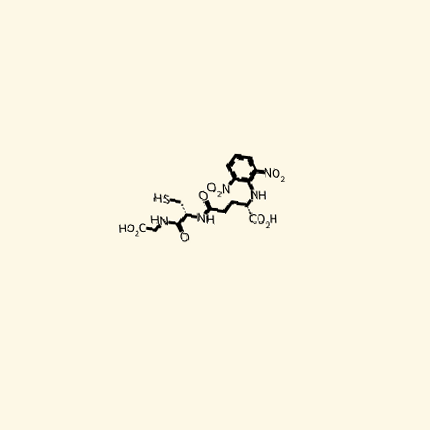 O=C(O)CNC(=O)[C@H](CS)NC(=O)CC[C@H](Nc1c([N+](=O)[O-])cccc1[N+](=O)[O-])C(=O)O